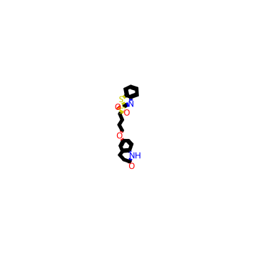 O=C1CCc2cc(OCCCCS(=O)(=O)c3nc4ccccc4s3)ccc2N1